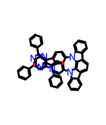 c1ccc(-c2nc(-c3ccccc3)nc(-c3ccc(-n4c5ccccc5c5ccc6c7ccccc7n(-c7ccc8c9ccccc9n(-c9ccccc9)c8c7)c6c54)cc3)n2)cc1